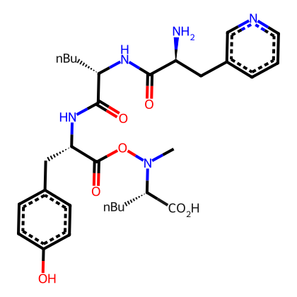 CCCC[C@H](NC(=O)[C@@H](N)Cc1cccnc1)C(=O)N[C@@H](Cc1ccc(O)cc1)C(=O)ON(C)[C@@H](CCCC)C(=O)O